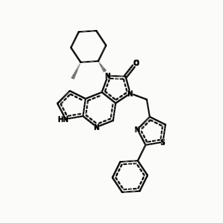 C[C@@H]1CCCC[C@@H]1n1c(=O)n(Cc2csc(-c3ccccc3)n2)c2cnc3[nH]ccc3c21